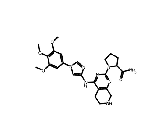 COc1cc(-n2cnc(Nc3nc(N4CCCC4C(N)=O)nc4c3CCNC4)c2)cc(OC)c1OC